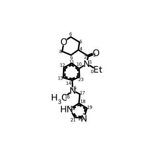 CCN(C(=O)C1CCOCC1)c1cccc(N(C)Cc2cnc[nH]2)c1